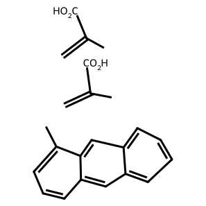 C=C(C)C(=O)O.C=C(C)C(=O)O.Cc1cccc2cc3ccccc3cc12